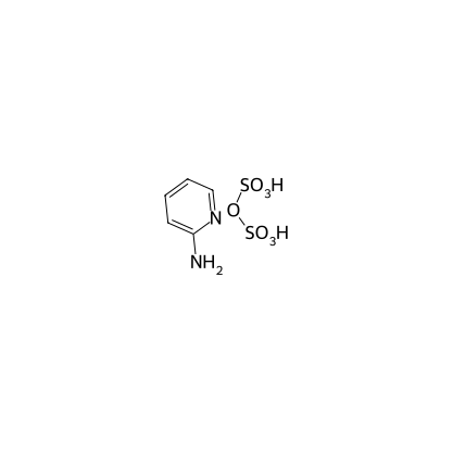 Nc1ccccn1.O=S(=O)(O)OS(=O)(=O)O